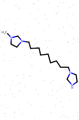 CN1CCN(CCCCCCCCCN2CCNC2)C1